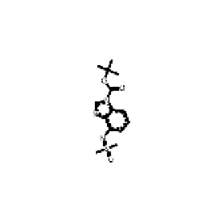 CC(C)(C)OC(=O)n1cnc2c(N=S(C)(C)=O)cccc21